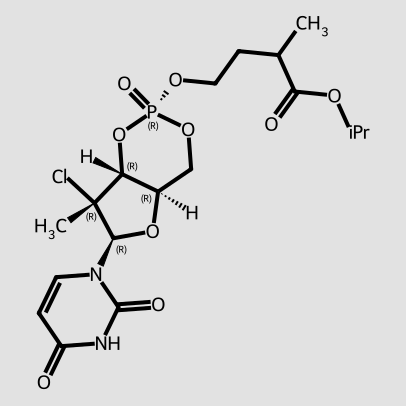 CC(C)OC(=O)C(C)CCO[P@]1(=O)OC[C@H]2O[C@@H](n3ccc(=O)[nH]c3=O)[C@](C)(Cl)[C@@H]2O1